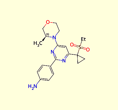 CCS(=O)(=O)C1(c2cc(N3CCOC[C@@H]3C)nc(-c3ccc(N)cc3)n2)CC1